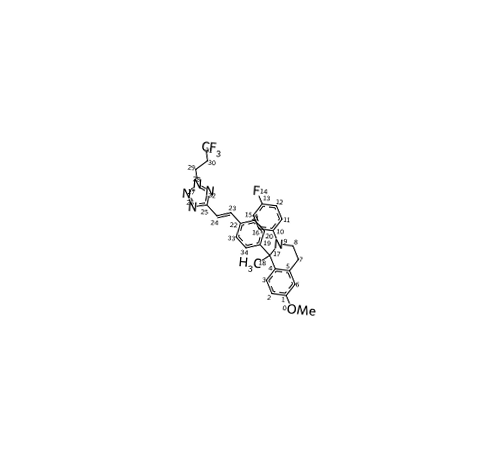 COc1ccc2c(c1)CCN(c1ccc(F)cc1)C2(C)c1ccc(C=Cc2nnn(CCC(F)(F)F)n2)cc1